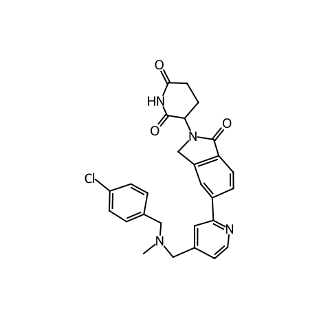 CN(Cc1ccc(Cl)cc1)Cc1ccnc(-c2ccc3c(c2)CN(C2CCC(=O)NC2=O)C3=O)c1